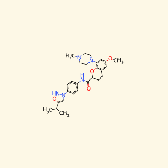 COc1cc2c(c(N3CCN(C)CC3)c1)OC(C(=O)Nc1ccc(N3C=C(C(C)C)ON3)cc1)CC2